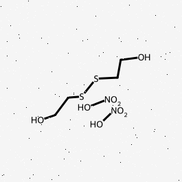 O=[N+]([O-])O.O=[N+]([O-])O.OCCSSCCO